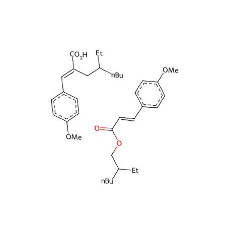 CCCCC(CC)CC(=Cc1ccc(OC)cc1)C(=O)O.CCCCC(CC)COC(=O)C=Cc1ccc(OC)cc1